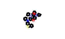 c1ccc(N(c2ccc3c(c2)-c2ccccc2CS3)c2cc(N(c3ccccc3)c3ccccc3)c3c(c2)oc2ccc(N(c4ccccc4)c4ccccc4)cc23)cc1